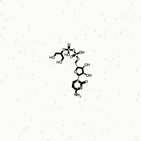 Nc1ccn([C@@H]2O[C@H](COP(=O)(O)OP(=O)(O)OC(CO)CO)[C@@H](O)[C@H]2O)c(=O)n1